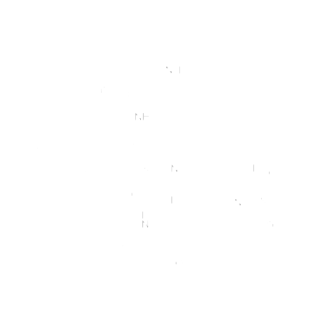 CN[C@@H](C)C(=O)N[C@H](C(=O)N1CC[C@@H]2[C@H]1[C@@H](C(=O)NC1CCCCC1)CN2S(C)(=O)=O)C1CCCCC1